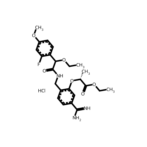 CCOC(=O)[C@@H](C)Oc1cc(C(=N)N)ccc1CNC(=O)C(OCC)c1ccc(OC)cc1F.Cl